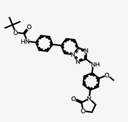 COc1cc(N2CCOC2=O)ccc1Nc1nc2ccc(-c3ccc(NC(=O)OC(C)(C)C)cc3)cn2n1